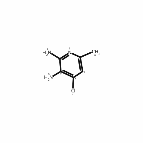 Cc1cc(Cl)c(N)c(N)n1